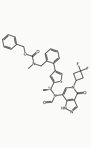 C[C@@H](c1cc(-c2ccccc2CN(C)C(=O)OCc2ccccc2)cs1)N(C=O)c1cn(C2CC(F)(F)C2)c(=O)c2cn[nH]c12